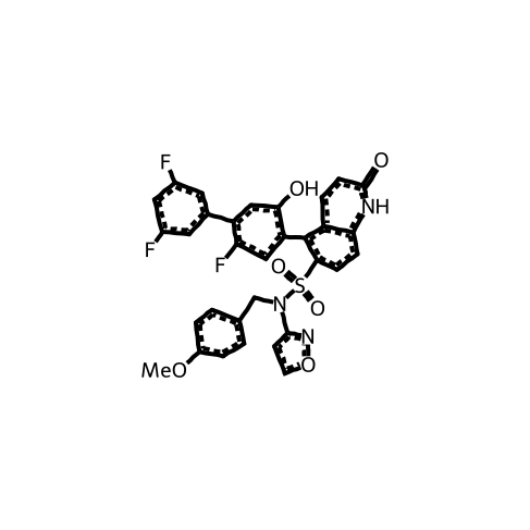 COc1ccc(CN(c2ccon2)S(=O)(=O)c2ccc3[nH]c(=O)ccc3c2-c2cc(F)c(-c3cc(F)cc(F)c3)cc2O)cc1